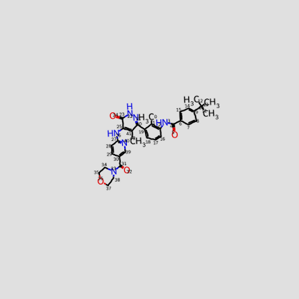 Cc1c(NC(=O)c2ccc(C(C)(C)C)cc2)cccc1-c1n[nH]c(=O)c(Nc2ccc(C(=O)N3CCOCC3)cn2)c1C